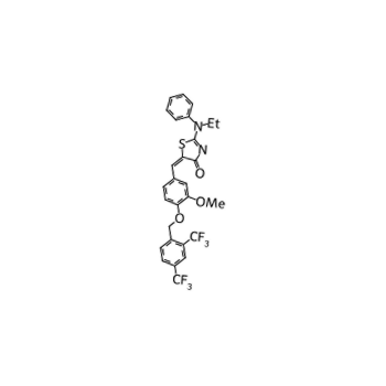 CCN(C1=NC(=O)C(=Cc2ccc(OCc3ccc(C(F)(F)F)cc3C(F)(F)F)c(OC)c2)S1)c1ccccc1